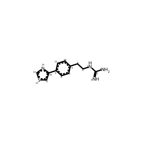 N=C(N)NCCc1ccc(-c2cs[c]n2)cc1